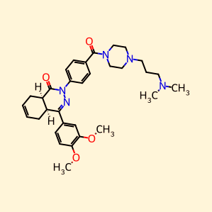 COc1ccc(C2=NN(c3ccc(C(=O)N4CCN(CCCN(C)C)CC4)cc3)C(=O)[C@@H]3CC=CC[C@H]23)cc1OC